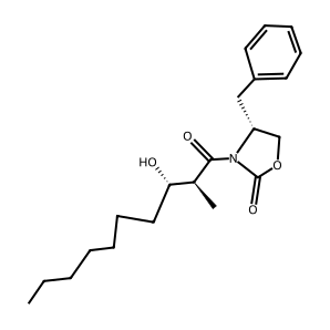 CCCCCCC[C@H](O)[C@H](C)C(=O)N1C(=O)OC[C@H]1Cc1ccccc1